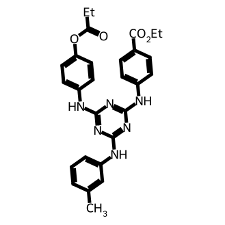 CCOC(=O)c1ccc(Nc2nc(Nc3ccc(OC(=O)CC)cc3)nc(Nc3cccc(C)c3)n2)cc1